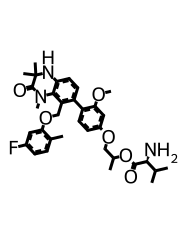 COc1cc(OCC(C)OC(=O)[C@@H](N)C(C)C)ccc1-c1ccc2c(c1COc1cc(F)ccc1C)N(C)C(=O)C(C)(C)N2